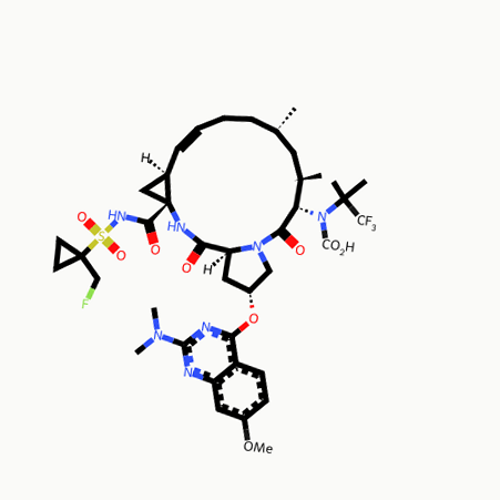 COc1ccc2c(O[C@@H]3C[C@H]4C(=O)N[C@]5(C(=O)NS(=O)(=O)C6(CF)CC6)C[C@H]5C=CCC[C@H](C)C[C@@H](C)[C@H](N(C(=O)O)C(C)(C)C(F)(F)F)C(=O)N4C3)nc(N(C)C)nc2c1